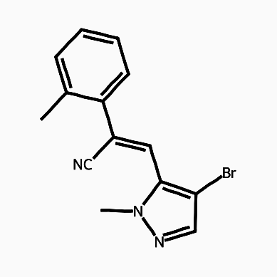 Cc1ccccc1/C(C#N)=C/c1c(Br)cnn1C